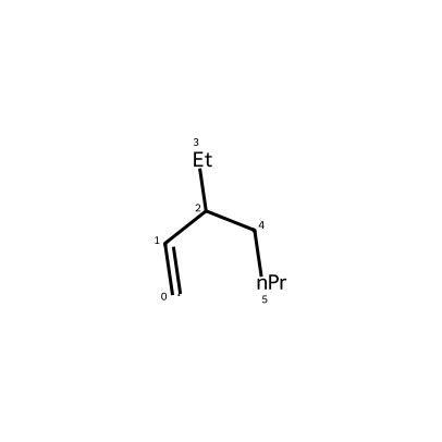 [CH]=CC(CC)CCCC